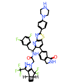 O=C(Cn1nc(C(F)(F)F)c2c1C(F)(F)[C@@H]1C#C[C@H]21)N[C@@H](Cc1cc(F)cc(F)c1)c1nc2nc(-c3ccc(N4CCNCC4)cc3)sc2cc1-c1ccc2c(c1)C(=O)NC2